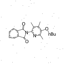 CCCCOc1c(C)nc(N2C(=O)c3ccccc3C2=O)c(C)c1C